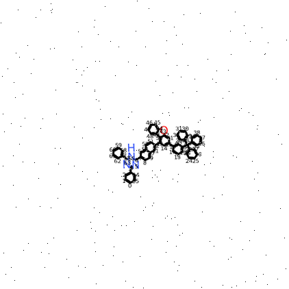 c1ccc(C2=NC(c3ccc4cc(-c5cc(-c6cccc(C(c7ccccc7)(c7ccccc7)c7ccccc7)c6)cc6oc7ccccc7c56)ccc4c3)NC(c3ccccc3)=N2)cc1